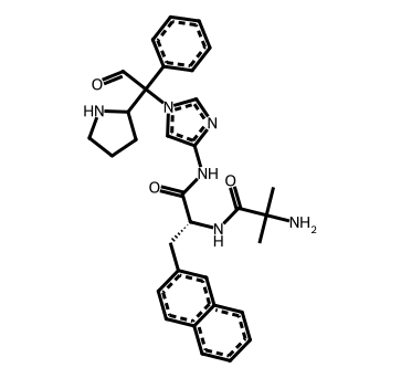 CC(C)(N)C(=O)N[C@H](Cc1ccc2ccccc2c1)C(=O)Nc1cn(C(C=O)(c2ccccc2)C2CCCN2)cn1